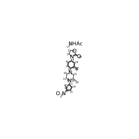 CC(=O)NC[C@H]1CN(c2ccc(N3CCN(c4ccc([N+](=O)[O-])s4)C(C)C3)c(F)c2)C(=O)O1